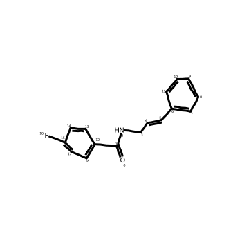 O=C(NCC=Cc1ccccc1)c1ccc(F)cc1